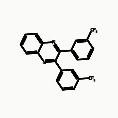 FC(F)(F)c1cccc(-c2nc3ccccc3nc2-c2cccc(C(F)(F)F)c2)c1